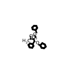 CN(C)[C@@H](COCc1ccccc1)[C@H](OCc1ccccc1)c1ccccc1